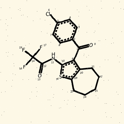 O=C(c1ccc(Cl)cc1)c1c(NC(=O)C(F)(F)F)sc2c1CCCCC2